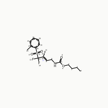 CCCCOC(=O)NC/C=C(\F)C(F)(F)S(=O)(=O)c1ccccc1C